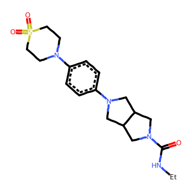 CCNC(=O)N1CC2CN(c3ccc(N4CCS(=O)(=O)CC4)cc3)CC2C1